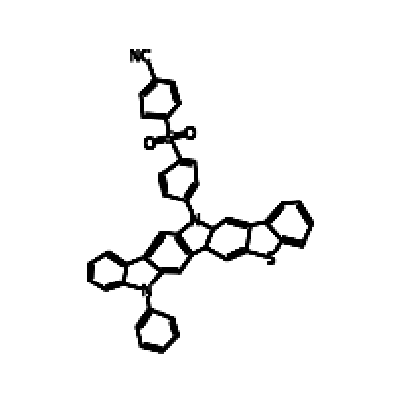 N#Cc1ccc(S(=O)(=O)c2ccc(N3c4cc5c6ccccc6n(-c6ccccc6)c5cc4C4C=c5sc6ccccc6c5=CC43)cc2)cc1